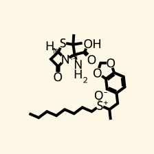 CC1(C)S[C@@H]2CC(=O)N2[C@@]1(N)C(=O)O.CCCCCCCC[S+]([O-])C(C)Cc1ccc2c(c1)OCO2